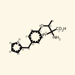 CCCC(N)(C(=O)O)C(C)Oc1ccc(Cc2cccs2)cc1